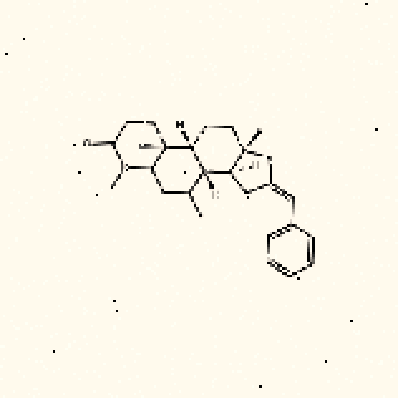 CC1CC2N(C)C(=O)CC[C@]2(C)[C@@H]2CC[C@]3(C)CC(=Cc4ccccc4)C[C@H]3[C@H]12